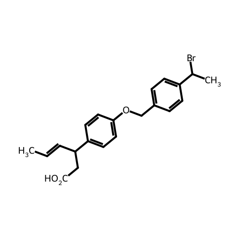 CC=CC(CC(=O)O)c1ccc(OCc2ccc(C(C)Br)cc2)cc1